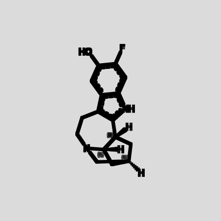 Oc1cc2c3c([nH]c2cc1F)[C@@H]1C[C@H]2C[C@@H]1N(CC3)C2